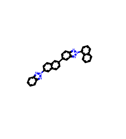 c1ccc2c(-n3nc4ccc(-c5ccc6cc(-n7nc8ccccc8n7)ccc6c5)cc4n3)cccc2c1